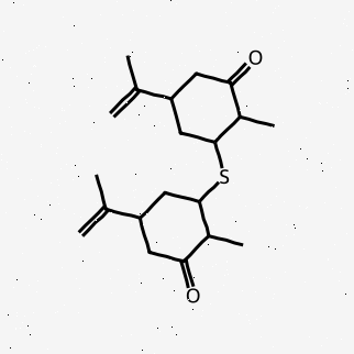 C=C(C)C1CC(=O)C(C)C(SC2CC(C(=C)C)CC(=O)C2C)C1